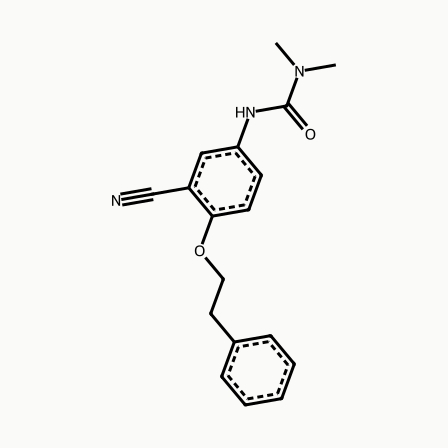 CN(C)C(=O)Nc1ccc(OCCc2ccccc2)c(C#N)c1